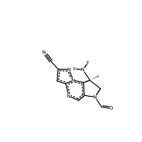 C[C@]1(N(F)F)CN(C=O)c2cnc3cc(C#N)nn3c21